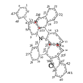 c1ccc(-c2ccc(N(c3ccccc3-c3cccc4ccccc34)c3ccccc3-c3cccc4c3oc3ccccc34)cc2)cc1